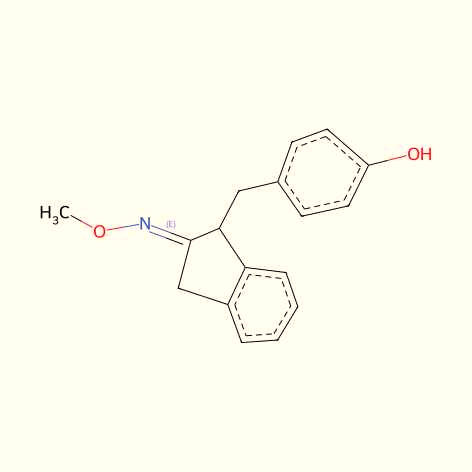 CO/N=C1\Cc2ccccc2C1Cc1ccc(O)cc1